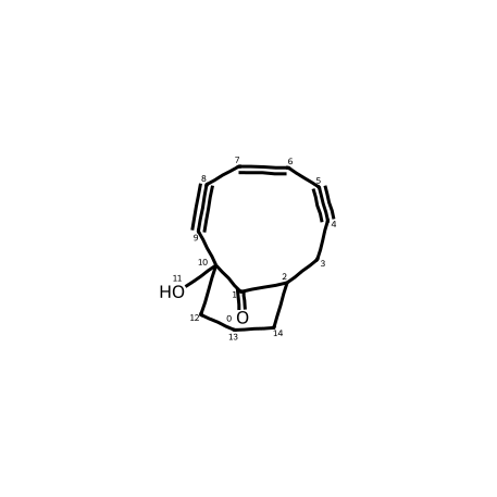 O=C1C2CC#CC=CC#CC1(O)CCC2